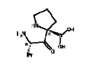 CC(C)[C@H](N)C(=O)[C@@]1(B(O)O)CCCN1